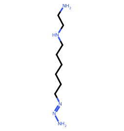 NCCNCCCCCCN=NN